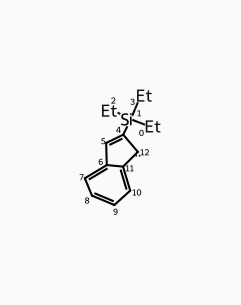 CC[Si](CC)(CC)C1=Cc2ccccc2[C]1